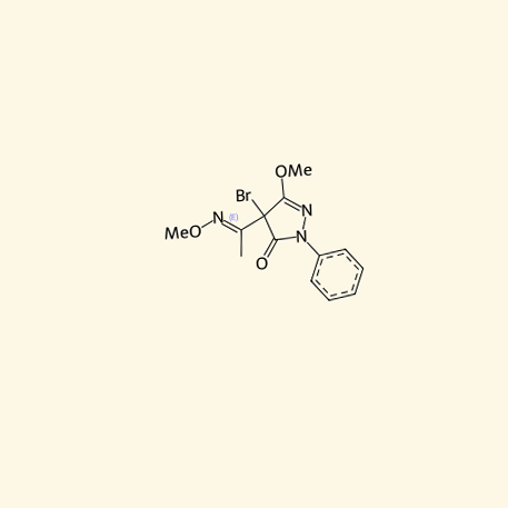 CO/N=C(\C)C1(Br)C(=O)N(c2ccccc2)N=C1OC